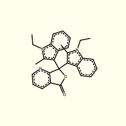 CCn1c(C)c(C2(c3c(C)n(CC)c4ccccc34)OC(=O)c3cccnc32)c2ccccc21